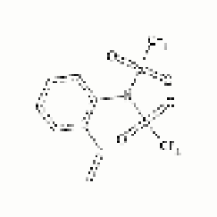 [CH]=Cc1ccccc1N(S(=O)(=O)C(F)(F)F)S(=O)(=O)C(F)(F)F